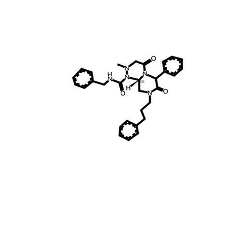 CN1CC(=O)N2C(c3ccccc3)C(=O)N(CCCc3ccccc3)C[C@@H]2N1C(=O)NCc1ccccc1